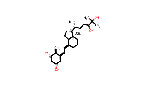 C=C1C(=CC=C2CCC[C@@]3(C)C2CC[C@@H]3[C@H](C)CCC(O)C(C)(C)O)C[C@@H](O)C[C@@H]1O